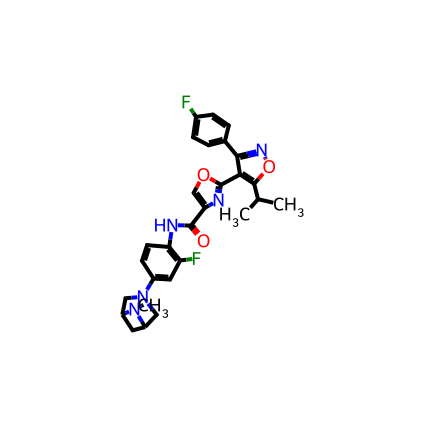 CC(C)c1onc(-c2ccc(F)cc2)c1-c1nc(C(=O)Nc2ccc(N3CC4CC(C3)N4C)cc2F)co1